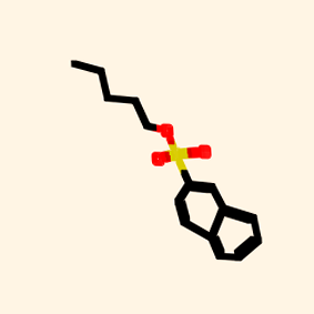 CCCCCOS(=O)(=O)c1ccc2ccccc2c1